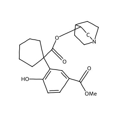 COC(=O)c1ccc(O)c(C2(C(=O)OC3CN4CCC3CC4)CCCCC2)c1